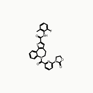 Cc1cccc(F)c1NC(=O)c1cc2c(s1)-c1ccccc1N(C(=O)c1cccc(N3CCOC3=O)n1)CC2